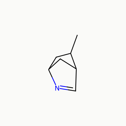 CC1CC2CC1C=N2